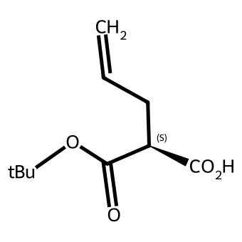 C=CC[C@@H](C(=O)O)C(=O)OC(C)(C)C